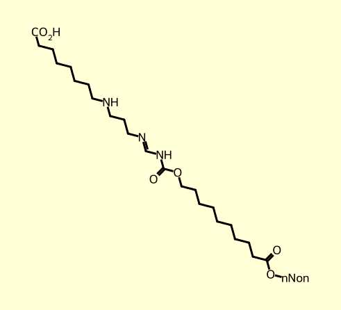 CCCCCCCCCOC(=O)CCCCCCCCCOC(=O)NC=NCCCNCCCCCCCC(=O)O